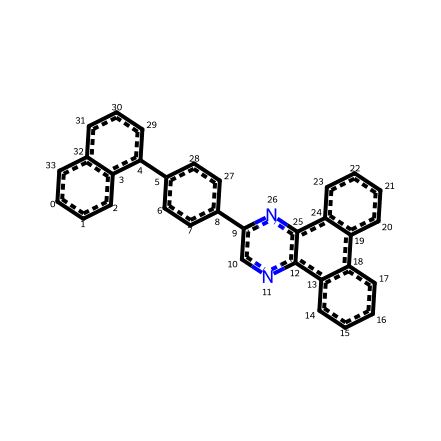 c1ccc2c(-c3ccc(-c4cnc5c6ccccc6c6ccccc6c5n4)cc3)cccc2c1